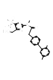 CN(C(=O)Cc1ccc(-c2cc(F)ccc2F)cc1)c1nc(CO)c([S@](C)(=N)=O)s1